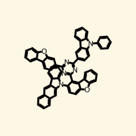 c1ccc(-n2c3ccccc3c3cc(-c4nc(-c5ccc6c(c5)oc5ccccc56)nc(-c5c(-n6c7ccccc7c7cc8ccccc8cc76)ccc6oc7ccccc7c56)n4)ccc32)cc1